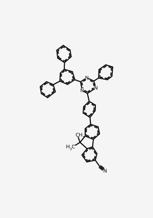 CC1(C)c2ccc(C#N)cc2-c2ccc(-c3ccc(-c4nc(-c5ccccc5)nc(-c5cc(-c6ccccc6)cc(-c6ccccc6)c5)n4)cc3)cc21